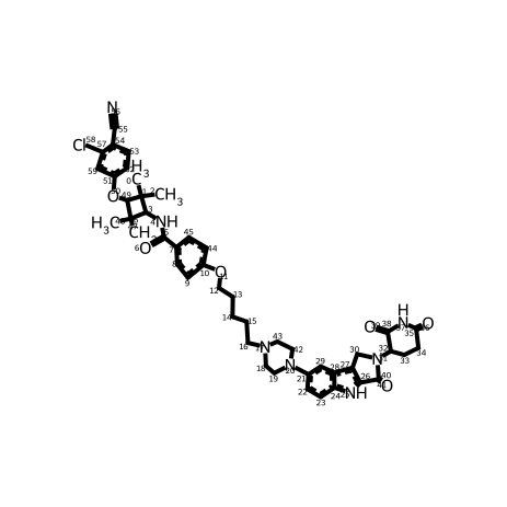 CC1(C)C(NC(=O)c2ccc(OCCCCCN3CCN(c4ccc5[nH]c6c(c5c4)CN(C4CCC(=O)NC4=O)C6=O)CC3)cc2)C(C)(C)C1Oc1ccc(C#N)c(Cl)c1